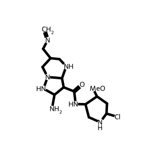 C=NCC1CNC2C(C(=O)NC3CNC(Cl)CC3OC)C(N)NN2C1